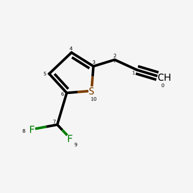 C#C[CH]c1ccc(C(F)F)s1